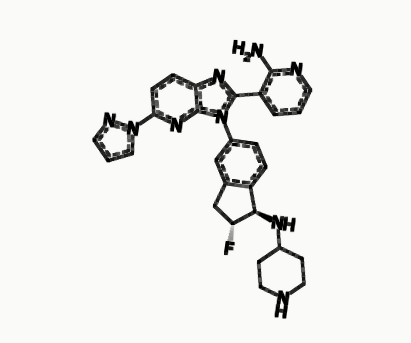 Nc1ncccc1-c1nc2ccc(-n3cccn3)nc2n1-c1ccc2c(c1)C[C@@H](F)[C@@H]2NC1CCNCC1